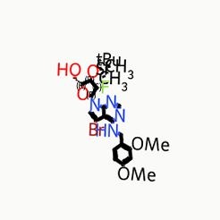 COc1ccc(CNc2ncnc3c2c(Br)cn3[C@@H]2O[C@H](CO)[C@@H](O[Si](C)(C)C(C)(C)C)[C@@H]2F)c(OC)c1